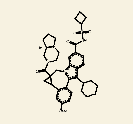 COc1ccc2c(c1)C1CC1(C(=O)N1CCN3CCC[C@@H]3C1)Cn1c-2c(C2CCCCC2)c2ccc(C(=O)NS(=O)(=O)C3CCC3)cc21